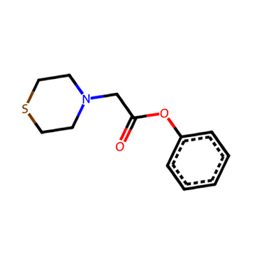 O=C(CN1CCSCC1)Oc1ccccc1